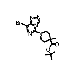 CC(C)(C)OC(=O)C1(C)CCN(c2ncc(Br)c3nncn23)CC1